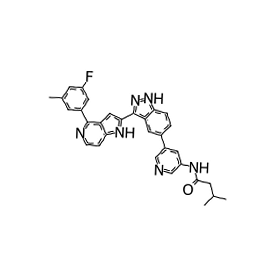 Cc1cc(F)cc(-c2nccc3[nH]c(-c4n[nH]c5ccc(-c6cncc(NC(=O)CC(C)C)c6)cc45)cc23)c1